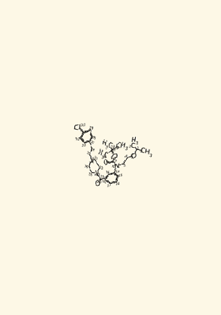 CC(C)OCCN(C(=O)OC(C)(C)C)c1cccc(C(=O)N2CCN(CCc3ccc(Cl)cc3)CC2)c1